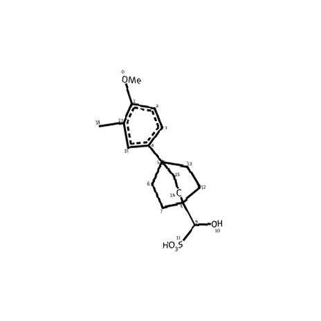 COc1ccc(C23CCC(C(O)S(=O)(=O)O)(CC2)CC3)cc1C